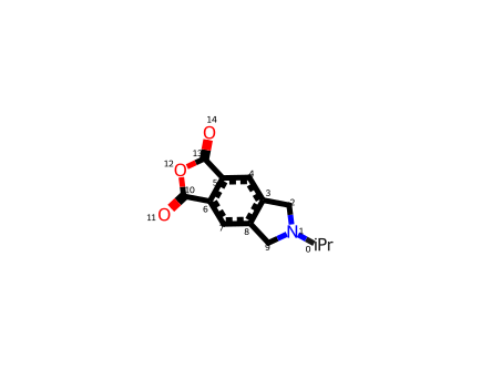 CC(C)N1Cc2cc3c(cc2C1)C(=O)OC3=O